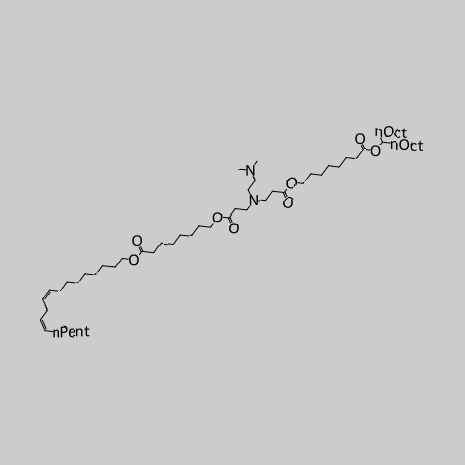 CCCCC/C=C\C/C=C\CCCCCCCCOC(=O)CCCCCCCOC(=O)CCN(CCC(=O)OCCCCCCCC(=O)OC(CCCCCCCC)CCCCCCCC)CCN(C)C